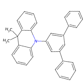 CC1(C)c2ccccc2N(c2cc(-c3ccccc3)cc(-c3ccccc3)c2)c2ccccc21